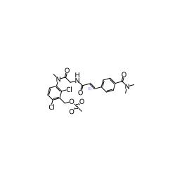 CN(C)C(=O)c1ccc(/C=C/C(=O)NCC(=O)N(C)c2ccc(Cl)c(COS(C)(=O)=O)c2Cl)cc1